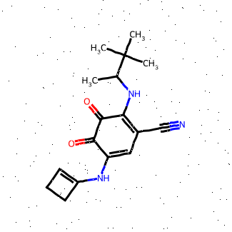 CC(NC1=C(C#N)C=C(NC2=CCC2)C(=O)C1=O)C(C)(C)C